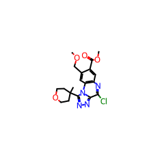 COCc1cc2c(cc1C(=O)OC)nc(Cl)c1nnc(C3(C)CCOCC3)n12